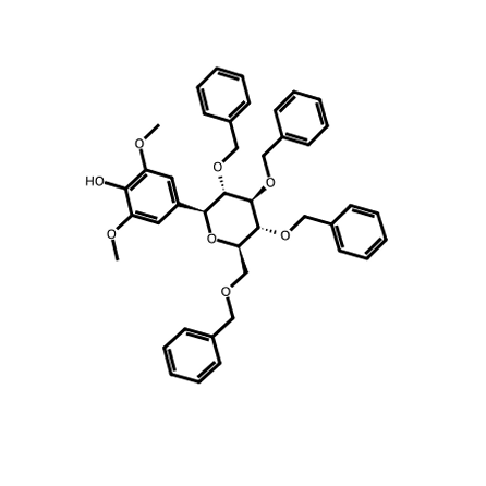 COc1cc([C@@H]2O[C@H](COCc3ccccc3)[C@@H](OCc3ccccc3)[C@H](OCc3ccccc3)[C@H]2OCc2ccccc2)cc(OC)c1O